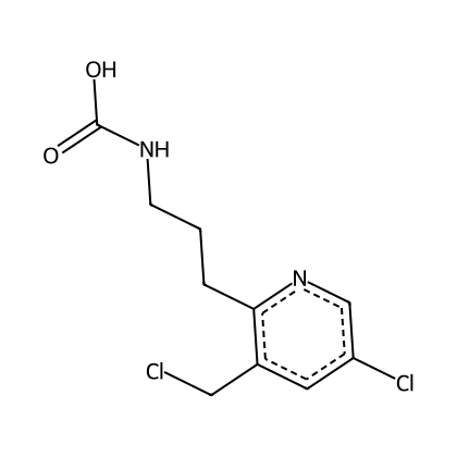 O=C(O)NCCCc1ncc(Cl)cc1CCl